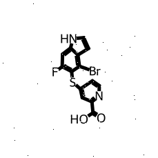 O=C(O)c1cc(Sc2c(F)cc3[nH]ccc3c2Br)ccn1